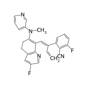 C=C/C(=C\C1=C(N(C)c2cccnc2)CCc2cc(F)cnc21)c1cccc(F)c1C#N